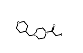 O=C(CI)N1CCN(CC2CCOCC2)CC1